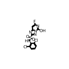 O=S(=O)(Nc1c(Cl)cccc1Cl)c1nc2cc(F)nc(O)n2n1